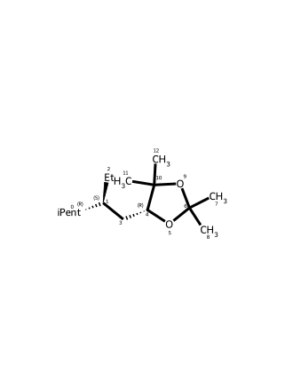 CCC[C@@H](C)[C@@H](CC)C[C@H]1OC(C)(C)OC1(C)C